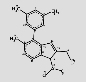 Cc1cc(C)cc(-c2c(C)ccc3c2C=C(CC(C)C)[CH]3[Zr]([Cl])[Cl])c1